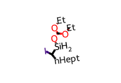 CCCCCCCC(I)[SiH2]OC(OCC)OCC